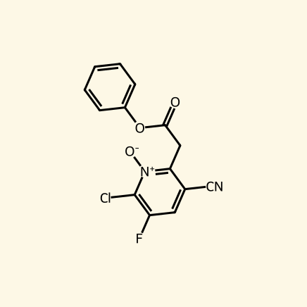 N#Cc1cc(F)c(Cl)[n+]([O-])c1CC(=O)Oc1ccccc1